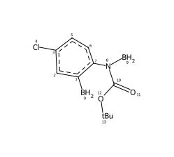 Bc1cc(Cl)ccc1N(B)C(=O)OC(C)(C)C